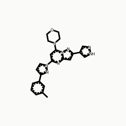 Cc1cccc(-c2ccn(-c3cc(N4CCOCC4)n4nc(-c5cn[nH]c5)cc4n3)n2)c1